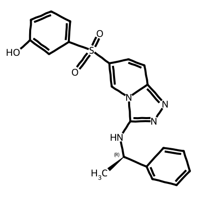 C[C@@H](Nc1nnc2ccc(S(=O)(=O)c3cccc(O)c3)cn12)c1ccccc1